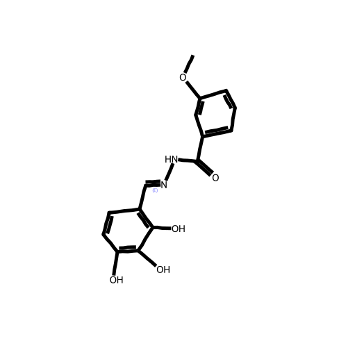 COc1cccc(C(=O)N/N=C/c2ccc(O)c(O)c2O)c1